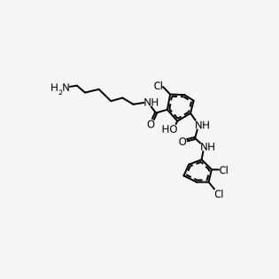 NCCCCCCNC(=O)c1c(Cl)ccc(NC(=O)Nc2cccc(Cl)c2Cl)c1O